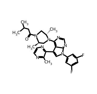 Cc1nccnc1-c1cn(-c2cc(F)cc(F)c2)c2ncnc(N3C[C@@H](C)N(C(=O)CC(C)C)C[C@@H]3C)c12